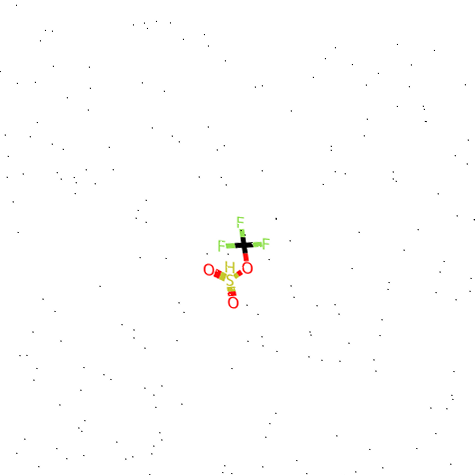 O=[SH](=O)OC(F)(F)F